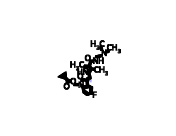 CCN(CC)CCNC(=O)c1c(C)[nH]c(/C=C2\C(=O)N(COC(=O)C3CC3)c3ccc(F)cc32)c1C